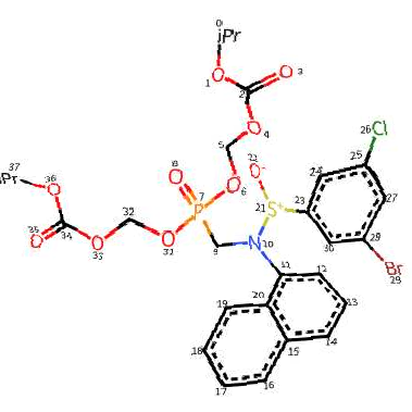 CC(C)OC(=O)OCOP(=O)(CN(c1cccc2ccccc12)[S+]([O-])c1cc(Cl)cc(Br)c1)OCOC(=O)OC(C)C